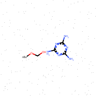 CCCCOCO.Nc1nc(N)nc(N)n1